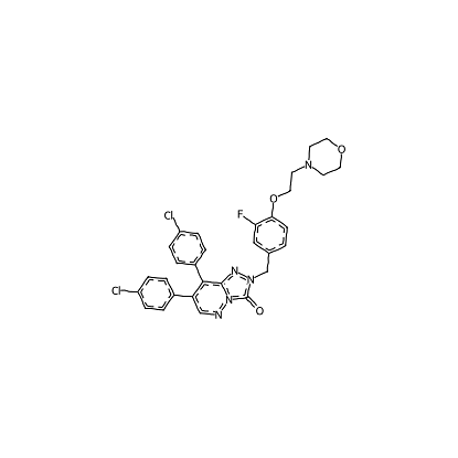 O=c1n(Cc2ccc(OCCN3CCOCC3)c(F)c2)nc2c(-c3ccc(Cl)cc3)c(-c3ccc(Cl)cc3)cnn12